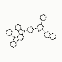 c1ccc(-c2cc(-c3ccc(-n4c5ccccc5c5c4ccc4c6ccccc6n(-c6ccccc6)c45)cc3)nc(-c3ccc4ccccc4c3)c2)cc1